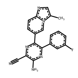 Cc1cnc2ccc(-c3nc(C#N)c(N)nc3-c3cccc(F)c3)cn12